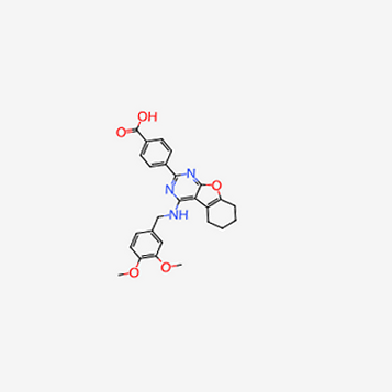 COc1ccc(CNc2nc(-c3ccc(C(=O)O)cc3)nc3oc4c(c23)CCCC4)cc1OC